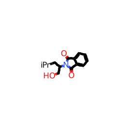 CC(C)CC(CO)N1C(=O)c2ccccc2C1=O